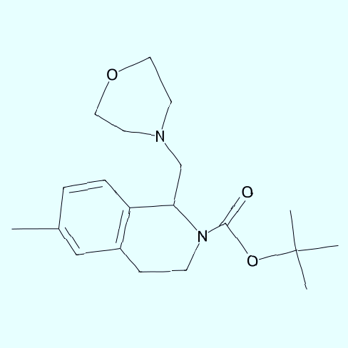 Cc1ccc2c(c1)CCN(C(=O)OC(C)(C)C)C2CN1CCOCC1